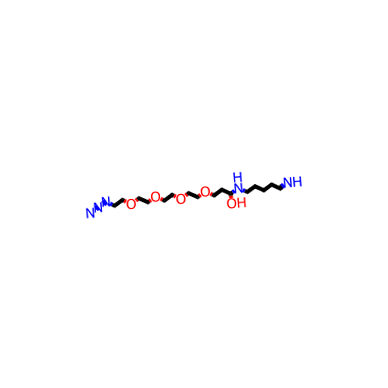 [N-]=[N+]=NCCOCCOCCOCCOCCC(O)NCCCCC=N